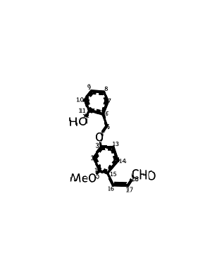 COc1cc(OCc2ccccc2O)ccc1/C=C\C=O